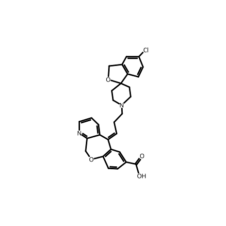 O=C(O)c1ccc2c(c1)/C(=C/CCN1CCC3(CC1)OCc1cc(Cl)ccc13)c1cccnc1CO2